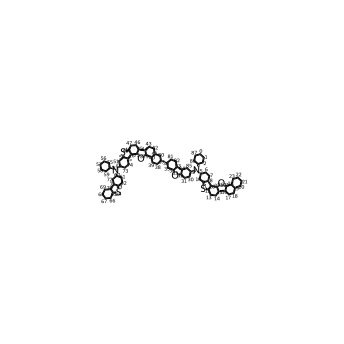 c1ccc(N(c2ccc3c(c2)sc2ccc4c5ccc6ccccc6c5oc4c23)c2ccc3oc4cc(-c5ccc6c(ccc7c8ccc9sc%10cc(N(c%11ccccc%11)c%11ccc%12sc%13ccccc%13c%12c%11)ccc%10c9c8oc67)c5)ccc4c3c2)cc1